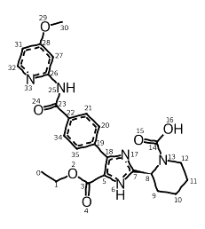 CCOC(=O)c1[nH]c([C@@H]2CCCCN2C(=O)O)nc1-c1ccc(C(=O)Nc2cc(OC)ccn2)cc1